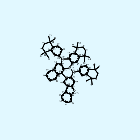 CC1(C)CCC(C)(C)c2cc(N3B4c5cc6c(cc5N(c5ccc7c(c5)C(C)(C)CCC7(C)C)c5cc7ccccc7c(c54)-c4cc5c(cc43)sc3ccccc35)C(C)(C)CCC6(C)C)ccc21